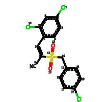 N#C/C(=C/c1ccc(Cl)cc1Cl)S(=O)(=O)Cc1ccc(Cl)cc1